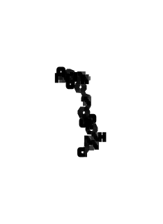 Cn1nc(N2CCC(=O)NC2=O)c2ccc(C3CN(Cc4cccc(S(=O)(=O)N5CCC(Nc6ncc(Cl)cn6)CC5)c4)C3)cc21